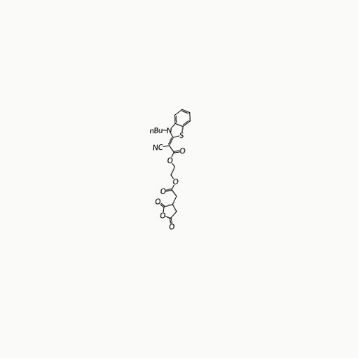 CCCCN1/C(=C(\C#N)C(=O)OCCOC(=O)CC2CC(=O)OC2=O)Sc2ccccc21